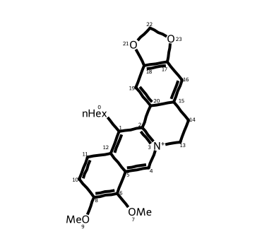 CCCCCCc1c2[n+](cc3c(OC)c(OC)ccc13)CCc1cc3c(cc1-2)OCO3